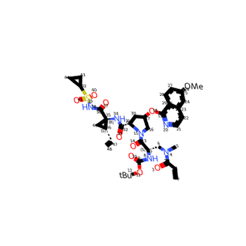 C=CC(=O)N(C)C[C@H](NC(=O)OC(C)(C)C)C(=O)N1CC(Oc2nccc3cc(OC)ccc23)C[C@H]1C(=O)N[C@]1(C(=O)NS(=O)(=O)C2CC2)C[C@H]1C=C